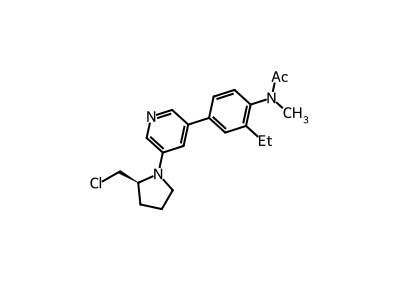 CCc1cc(-c2cncc(N3CCC[C@H]3CCl)c2)ccc1N(C)C(C)=O